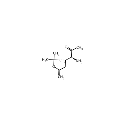 C=C(CC[C@H](N)C(C)=O)OC(C)(C)C